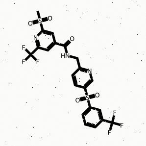 CS(=O)(=O)c1cc(C(=O)NCc2ccc(S(=O)(=O)c3cccc(C(F)(F)F)c3)cn2)cc(C(F)(F)F)n1